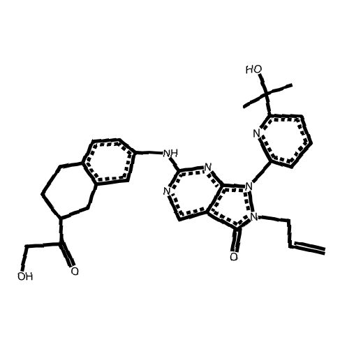 C=CCn1c(=O)c2cnc(Nc3ccc4c(c3)CC(C(=O)CO)CC4)nc2n1-c1cccc(C(C)(C)O)n1